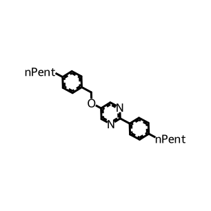 CCCCCc1ccc(COc2cnc(-c3ccc(CCCCC)cc3)nc2)cc1